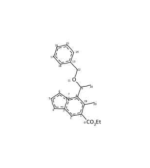 CCOC(=O)c1cc2cccn2c(C(C)OCc2ccccc2)c1C